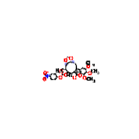 C=C1/C=C2/OCO/C2=C/C[C@@H](c2cc(OC)c(OC)c(OC)c2)[C@H]2C(=O)OC[C@@H]2[C@H]1OC(=O)Oc1ccc([N+](=O)[O-])cc1